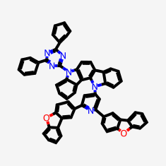 c1ccc(-c2nc(-c3ccccc3)nc(-n3c4ccccc4c4c3ccc3c5ccccc5n(-c5cc(-c6ccc7oc8ccccc8c7c6)nc(-c6ccc7oc8ccccc8c7c6)c5)c34)n2)cc1